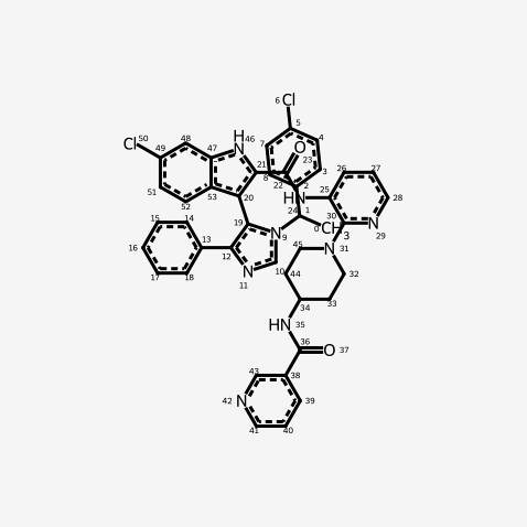 CC(c1ccc(Cl)cc1)n1cnc(-c2ccccc2)c1-c1c(C(=O)Nc2cccnc2N2CCC(NC(=O)c3cccnc3)CC2)[nH]c2cc(Cl)ccc12